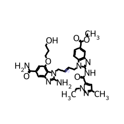 CCn1nc(C)cc1C(=O)Nc1nc2cc(C(=O)OC)ccc2n1C/C=C/Cn1c(N)nc2cc(C(N)=O)cc(OCCCO)c21